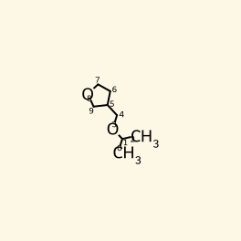 CC(C)OCC1CCOC1